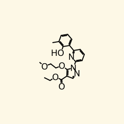 CCOC(=O)c1cnn(-c2cccc(-c3cccc(C)c3O)n2)c1OCCOC